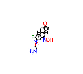 C[C@]12C[C@@H](F)/C(=N/OCCN)CC1/C(=N/O)C[C@@H]1[C@@H]2CC[C@]2(C)C(=O)CC[C@@H]12